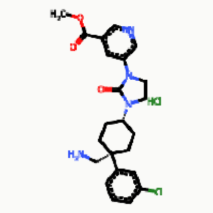 COC(=O)c1cncc(N2CCN([C@H]3CC[C@](CN)(c4cccc(Cl)c4)CC3)C2=O)c1.Cl